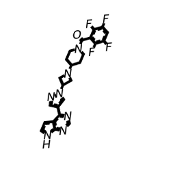 O=C(c1c(F)c(F)cc(F)c1F)N1CCC(N2CC(n3cc(-c4ncnc5[nH]ccc45)cn3)C2)CC1